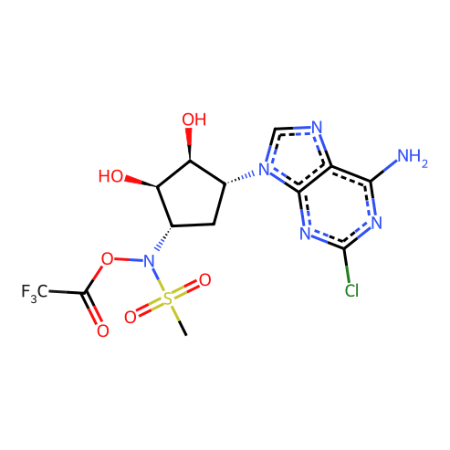 CS(=O)(=O)N(OC(=O)C(F)(F)F)[C@H]1C[C@@H](n2cnc3c(N)nc(Cl)nc32)[C@H](O)[C@@H]1O